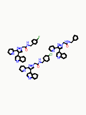 O=C(Cn1cc(-c2ccnc3ccccc23)c(-c2ccccn2)n1)NCc1ccc(Cl)cc1.O=C(Cn1cc(-c2ccnc3ccccc23)c(-c2ccccn2)n1)NCc1ccc(F)cc1.O=C(Cn1cc(-c2ccnc3ccccc23)c(-c2ccccn2)n1)NCc1ccccc1